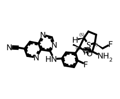 C[C@]1(c2cc(Nc3ncnc4cc(C#N)cnc34)ccc2F)N=C(N)[C@@]2(CF)CC[C@@H]1S2(=O)=O